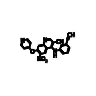 C#Cc1cccc(Nc2c(C#N)cnc3cc(Oc4ccncc4)c([N+](=O)[O-])cc23)c1